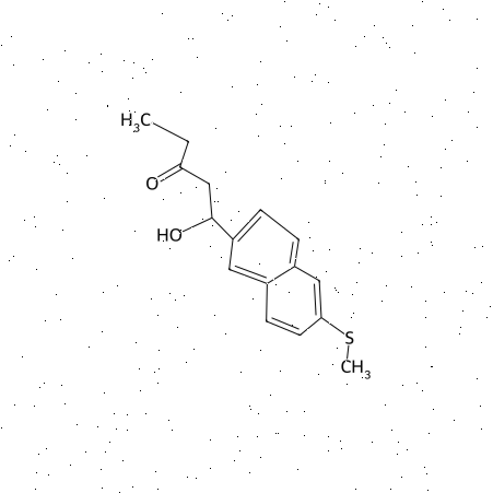 CCC(=O)CC(O)c1ccc2cc(SC)ccc2c1